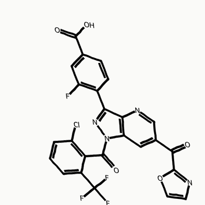 O=C(O)c1ccc(-c2nn(C(=O)c3c(Cl)cccc3C(F)(F)F)c3cc(C(=O)c4ncco4)cnc23)c(F)c1